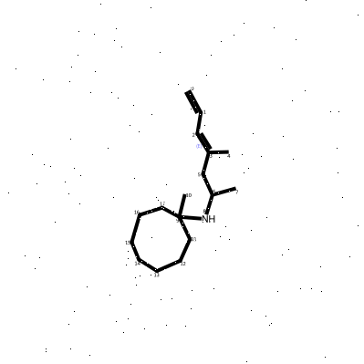 C=C/C=C(\C)CC(C)NC1(C)CCCCCCC1